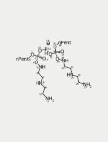 CCCCCOP(=O)(ONCCNCCN)O[PH](=O)OP(=O)(OCCCCC)ONCCNCCN